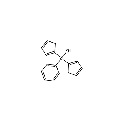 [SH][Zr]([C]1=CC=CC1)([C]1=CC=CC1)[c]1ccccc1